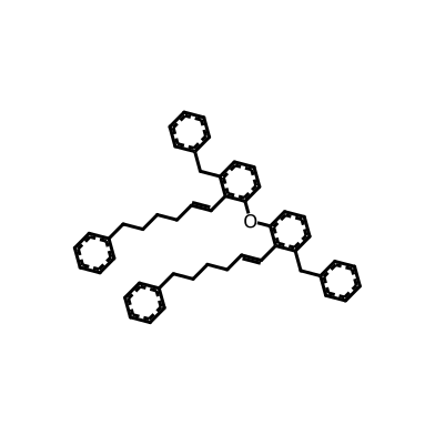 C(=Cc1c(Cc2ccccc2)cccc1Oc1cccc(Cc2ccccc2)c1C=CCCCCc1ccccc1)CCCCc1ccccc1